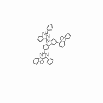 c1ccc(-c2nc(-n3c4ccc(-c5nc(-c6ccccc6)c6oc7ccccc7c6n5)cc4c4cc(-c5cccc6c5oc5ccccc56)ccc43)c3ccccc3n2)cc1